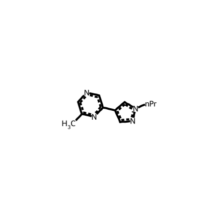 CCCn1cc(-c2cncc(C)n2)cn1